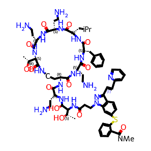 CNC(=O)c1ccccc1Sc1ccc2c(/C=C/c3ccccn3)nn(CCC(=O)NC(C(O)N[C@H](CCN)C(=O)N[C@@H]3CCNC(=O)[C@H]([C@@H](C)O)NC(=O)[C@H](CCN)NC(=O)[C@H](CCN)NC(=O)[C@H](CC(C)C)NC(=O)[C@H](Cc4ccccc4)NC(=O)[C@H](CCN)NC3=O)[C@H](C)O)c2c1